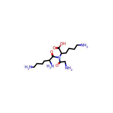 NCCCCC(N)C(=O)N(C(=O)CN)C(CCCCN)C(=O)O